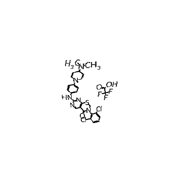 CN(C)C1CCN(c2ccc(Nc3ncc4c(n3)SCN(c3c(Cl)cccc3Cl)C4=O)cc2)CC1.O=C(O)C(F)(F)F